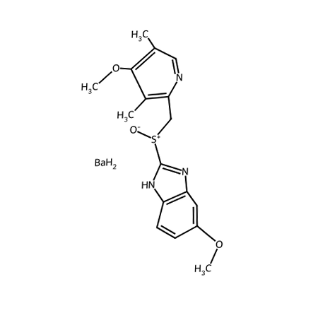 COc1ccc2[nH]c([S+]([O-])Cc3ncc(C)c(OC)c3C)nc2c1.[BaH2]